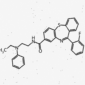 CCN(CCNC(=O)c1ccc2c(c1)N=C(c1ccccc1F)c1ccccc1S2)c1ccccc1